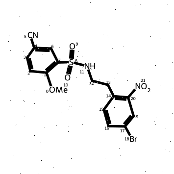 COc1ccc(C#N)cc1S(=O)(=O)NCCc1ccc(Br)cc1[N+](=O)[O-]